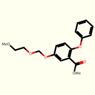 COCCOCOc1ccc(Oc2ccccc2)c(C(=O)OC)c1